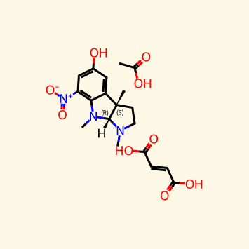 CC(=O)O.CN1CC[C@@]2(C)c3cc(O)cc([N+](=O)[O-])c3N(C)[C@@H]12.O=C(O)C=CC(=O)O